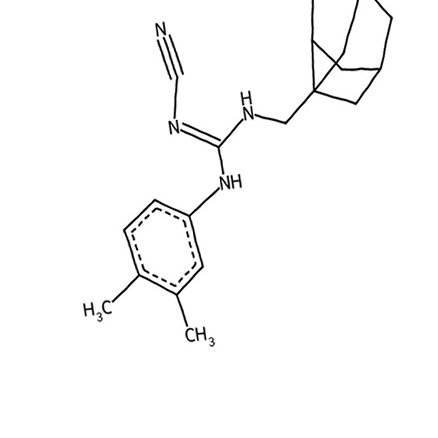 Cc1ccc(N/C(=N/C#N)NCC23CC4CC(CC2C4)C3)cc1C